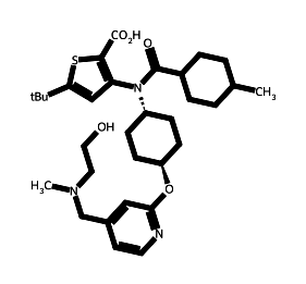 CC1CCC(C(=O)N(c2cc(C(C)(C)C)sc2C(=O)O)[C@H]2CC[C@H](Oc3cc(CN(C)CCO)ccn3)CC2)CC1